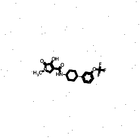 CN1CC(C(=O)N[C@H]2CC[C@@H](c3cccc(OC(F)(F)F)c3)CC2)=C(O)C1=O